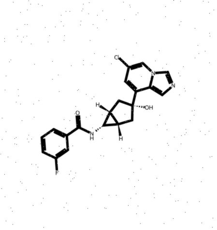 O=C(N[C@@H]1[C@@H]2C[C@@](O)(c3cc(Cl)cn4cncc34)C[C@@H]21)c1cccc(F)c1